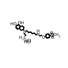 CCCN(CCCCCCNCCOc1ccc(S(C)(=O)=O)cc1)[C@H]1CCc2c(ccc(O)c2O)C1.Cl.Cl